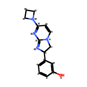 Oc1cccc(C2CN3C=CC(N4CCC4)=NC3=N2)c1